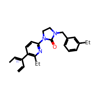 C=C/C(=C\C)c1ccc(N2CCN(Cc3cccc(CC)c3)C2=O)nc1CC